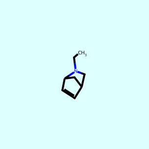 CCN1CC2C=CC1C2